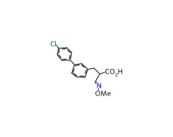 CON=CC(Cc1cccc(-c2ccc(Cl)cc2)c1)C(=O)O